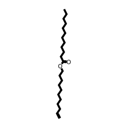 C=CCCCCCCCCCOC(=O)CCCCCCCCCCC